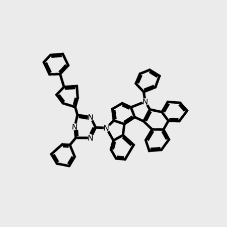 c1ccc(-c2ccc(-c3nc(-c4ccccc4)nc(-n4c5ccccc5c5c6c7c8ccccc8c8ccccc8c7n(-c7ccccc7)c6ccc54)n3)cc2)cc1